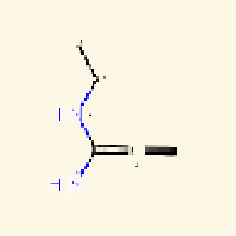 C=C=C(N)NCC